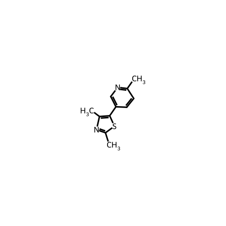 Cc1ccc(-c2sc(C)nc2C)cn1